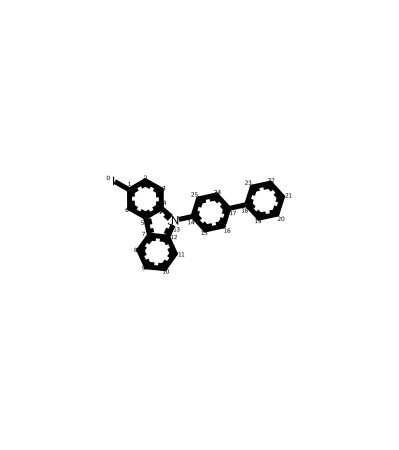 Ic1ccc2c(c1)c1ccccc1n2-c1ccc(-c2ccccc2)cc1